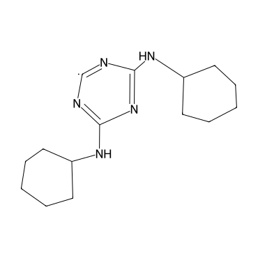 [c]1nc(NC2CCCCC2)nc(NC2CCCCC2)n1